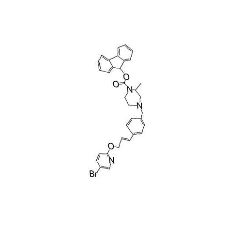 CC1CN(Cc2ccc(C=CCOc3ccc(Br)cn3)cc2)CCN1C(=O)OC1c2ccccc2-c2ccccc21